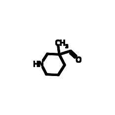 CC1(C=O)CCCNC1